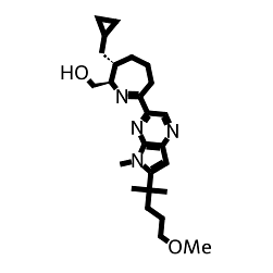 COCCCC(C)(C)c1cc2ncc(C3=N[C@@H](CO)[C@H](CC4CC4)CCC3)nc2n1C